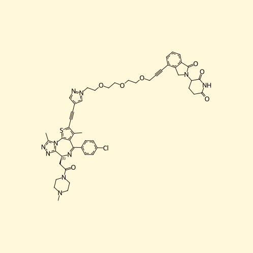 Cc1c(C#Cc2cnn(CCOCCOCCOCC#Cc3cccc4c3CN(C3CCC(=O)NC3=O)C4=O)c2)sc2c1C(c1ccc(Cl)cc1)=N[C@@H](CC(=O)N1CCN(C)CC1)c1nnc(C)n1-2